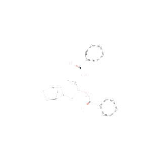 O=C(OC1CC2C3CCC(C3)C2CC1OC(=O)c1ccccc1)c1ccccc1